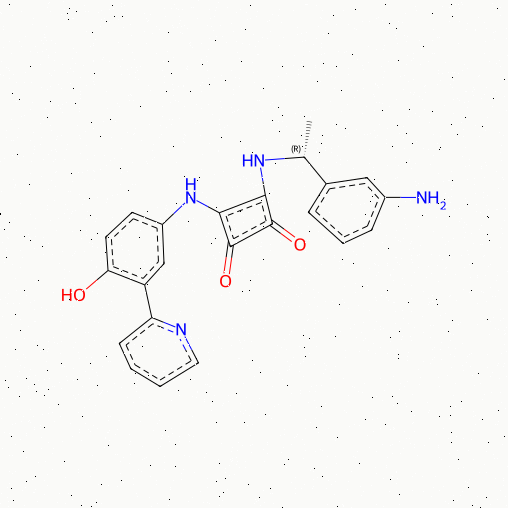 C[C@@H](Nc1c(Nc2ccc(O)c(-c3ccccn3)c2)c(=O)c1=O)c1cccc(N)c1